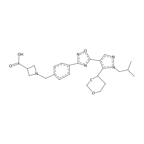 CC(C)Cn1ncc(-c2nc(-c3ccc(CN4CC(C(=O)O)C4)cc3)no2)c1C1CCOCC1